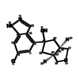 OC1(c2cc(Cl)cc3[nH]ncc23)C[C@H]2COC[C@H]2C1